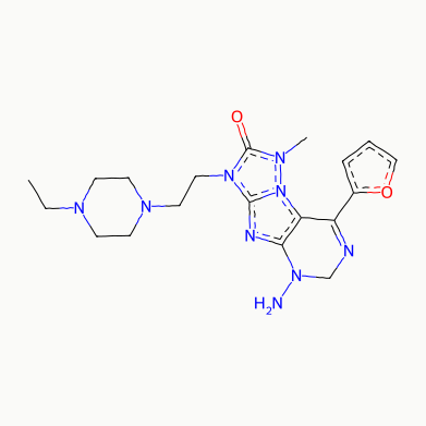 CCN1CCN(CCn2c(=O)n(C)n3c4c(nc23)N(N)CN=C4c2ccco2)CC1